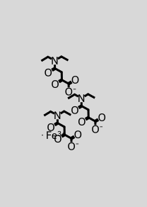 CCN(CC)C(=O)CC(=O)C(=O)[O-].CCN(CC)C(=O)CC(=O)C(=O)[O-].CCN(CC)C(=O)CC(=O)C(=O)[O-].[Fe+3]